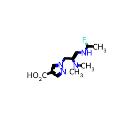 CC(F)N/C=C(/Cn1cc(C(=O)O)cn1)N(C)C